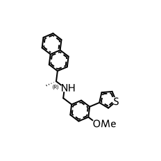 COc1ccc(CN[C@H](C)c2ccc3ccccc3c2)cc1-c1ccsc1